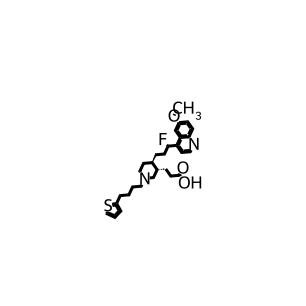 COc1ccc2nccc([C@H](F)CC[C@@H]3CCN(CCCCc4cccs4)C[C@H]3CCC(=O)O)c2c1